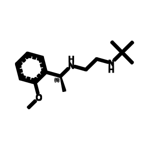 COc1ccccc1[C@H](C)NCCNC(C)(C)C